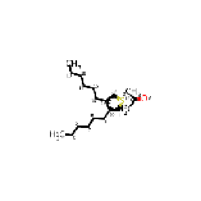 CC(C)=O.CCCCCCc1cscc1CCCCCC